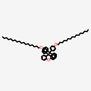 CCCCCCCCCCCCCCCCCCOc1ccc(C2(C(c3ccccc3)(c3ccccc3)c3ccc(OCCCCCCCCCCCCCCCC)cc3)c3ccccc3Oc3ccccc32)cc1